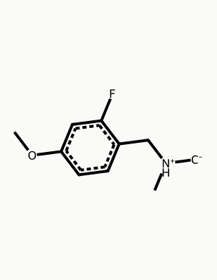 [CH2-][NH+](C)Cc1ccc(OC)cc1F